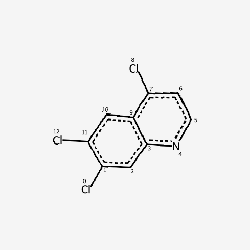 Clc1cc2nccc(Cl)c2cc1Cl